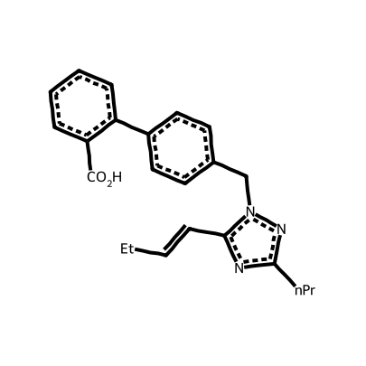 CCC=Cc1nc(CCC)nn1Cc1ccc(-c2ccccc2C(=O)O)cc1